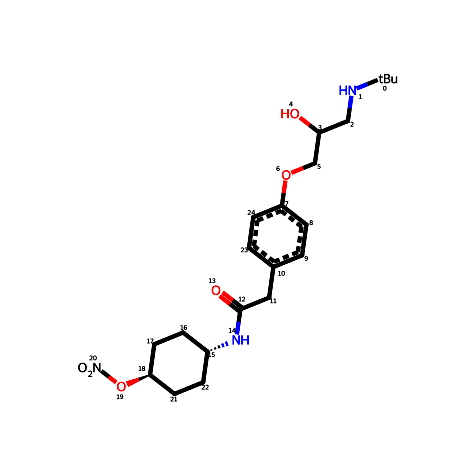 CC(C)(C)NCC(O)COc1ccc(CC(=O)N[C@H]2CC[C@H](O[N+](=O)[O-])CC2)cc1